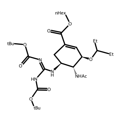 CCCCCCOC(=O)C1=C[C@@H](OC(CC)CC)[C@H](NC(C)=O)[C@@H](NC(=NC(=O)OC(C)(C)C)NC(=O)OC(C)(C)C)C1